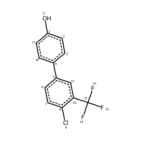 Oc1ccc(-c2ccc(Cl)c(C(F)(F)F)c2)cc1